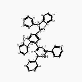 c1ccc(C2=NC(c3cc(-c4nc5ccccc5n4-c4ccccc4)cc4oc5ccccc5c34)=NC(c3ccccc3)N2)cc1